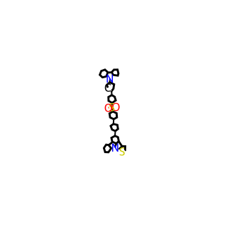 O=S(=O)(c1ccc(-c2ccc(-c3cc4c5ccccc5n5c6sccc6c(c3)c45)cc2)cc1)c1ccc(-c2ccc(-n3c4ccccc4c4ccccc43)cc2)cc1